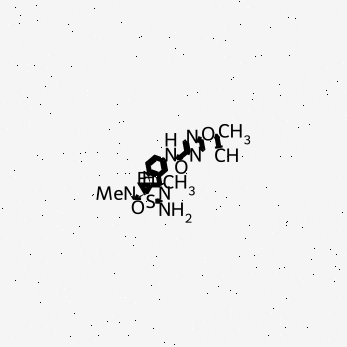 C#CC(C)Oc1cnc(C(=O)Nc2ccc(F)c([C@@]3(C)N=C(N)S[C@@]4(C(=O)NC)C[C@H]43)c2)cn1